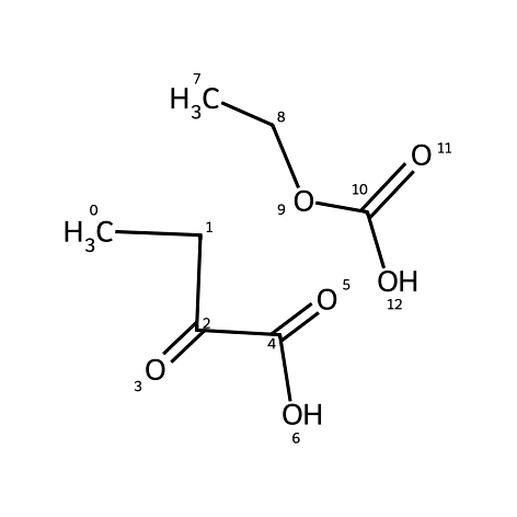 CCC(=O)C(=O)O.CCOC(=O)O